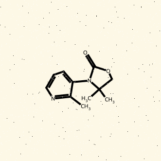 Cc1ncccc1N1C(=O)OCC1(C)C